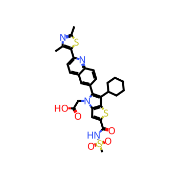 Cc1nc(C)c(-c2ccc3cc(-c4c(C5CCCCC5)c5sc(C(=O)NS(C)(=O)=O)cc5n4CC(=O)O)ccc3n2)s1